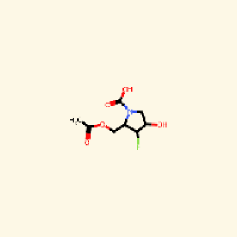 CC(=O)OCC1C(F)C(O)CN1C(=O)O